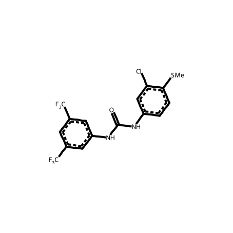 CSc1ccc(NC(=O)Nc2cc(C(F)(F)F)cc(C(F)(F)F)c2)cc1Cl